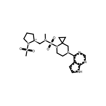 CN(C[C@@H]1CCCN1S(C)(=O)=O)S(=O)(=O)N1CCN(c2ncnc3[nH]ccc23)CC12CC2